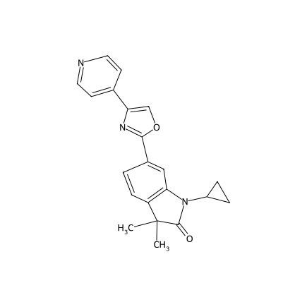 CC1(C)C(=O)N(C2CC2)c2cc(-c3nc(-c4ccncc4)co3)ccc21